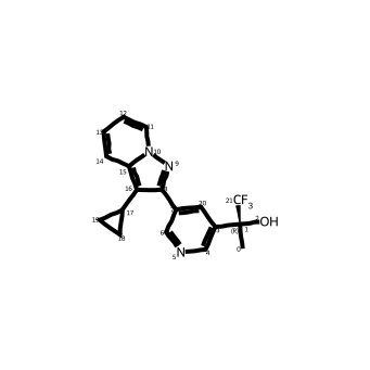 C[C@@](O)(c1cncc(-c2nn3ccccc3c2C2CC2)c1)C(F)(F)F